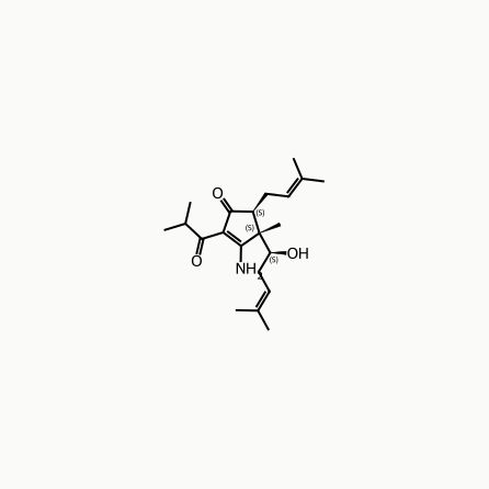 CC(C)=CC[C@@H]1C(=O)C(C(=O)C(C)C)=C(N)[C@@]1(C)[C@@H](O)CC=C(C)C